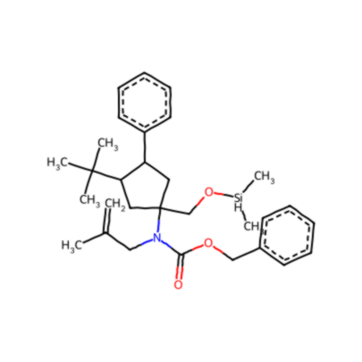 C=C(C)CN(C(=O)OCc1ccccc1)C1(CO[SiH](C)C)CC(c2ccccc2)C(C(C)(C)C)C1